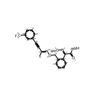 CNC(=O)/C(=N/OC)c1ccccc1CO/N=C(\C)C#Cc1cccc(C(F)(F)F)c1